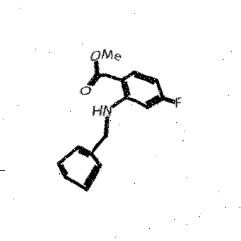 COC(=O)c1ccc(F)cc1NCc1ccccc1